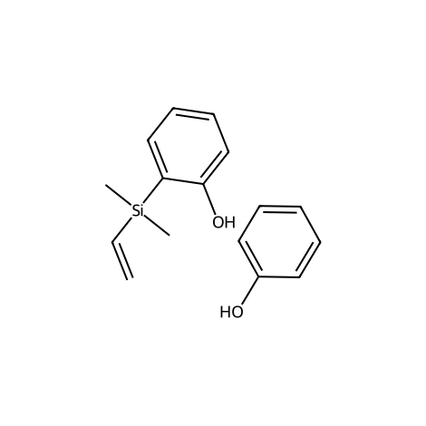 C=C[Si](C)(C)c1ccccc1O.Oc1ccccc1